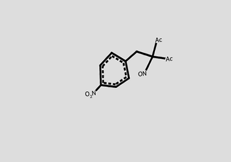 CC(=O)C(Cc1ccc([N+](=O)[O-])cc1)(N=O)C(C)=O